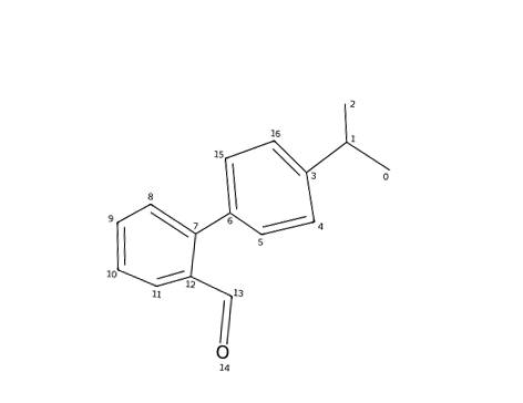 CC(C)c1ccc(-c2ccccc2C=O)cc1